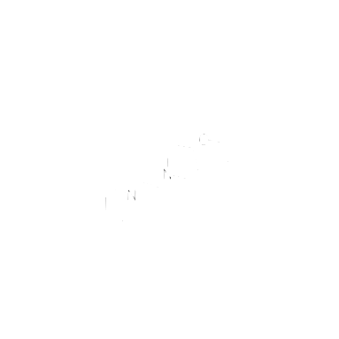 C1CCN(CCN2CCC(OC3CCC3)CC2)CC1